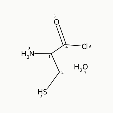 NC(CS)C(=O)Cl.O